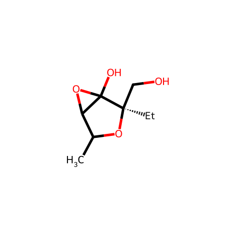 CC[C@]1(CO)OC(C)C2OC21O